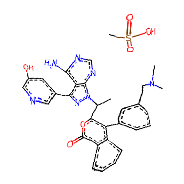 CC(c1oc(=O)c2ccccc2c1-c1cccc(CN(C)C)c1)n1nc(-c2cncc(O)c2)c2c(N)ncnc21.CS(=O)(=O)O